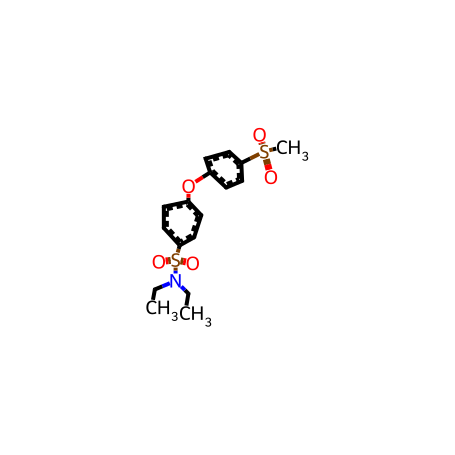 CCN(CC)S(=O)(=O)c1ccc(Oc2ccc(S(C)(=O)=O)cc2)cc1